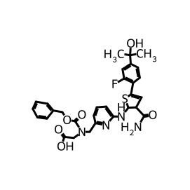 CC(C)(O)c1ccc(C2=CC(C(N)=O)C(Nc3cccc(CN(CC(=O)O)C(=O)OCc4ccccc4)n3)S2)c(F)c1